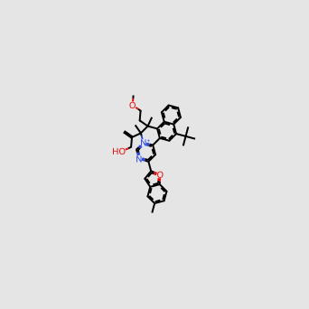 C=C(CO)C1(C)[n+]2cnc(-c3cc4cc(C)ccc4o3)cc2-c2cc(C(C)(C)C)c3ccccc3c2C1(C)CCOC